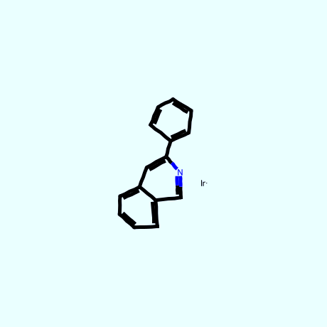 [Ir].c1ccc(-c2cc3ccccc3cn2)cc1